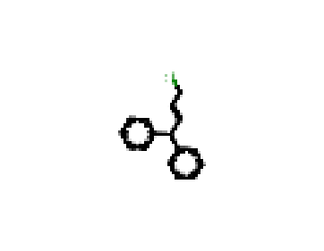 ClCC=CC(c1ccccc1)c1ccccc1